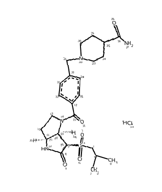 CC(C)CS(=O)(=O)[C@H]1C(=O)N[C@H]2CCN(C(=O)c3ccc(CN4CCC(C(N)=O)CC4)cc3)[C@H]21.Cl